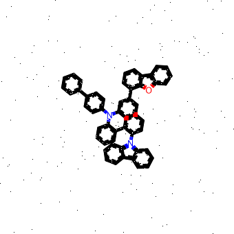 c1ccc(-c2ccc(N(c3cccc(-c4cccc5c4oc4ccccc45)c3)c3ccccc3-c3ccccc3-n3c4ccccc4c4ccccc43)cc2)cc1